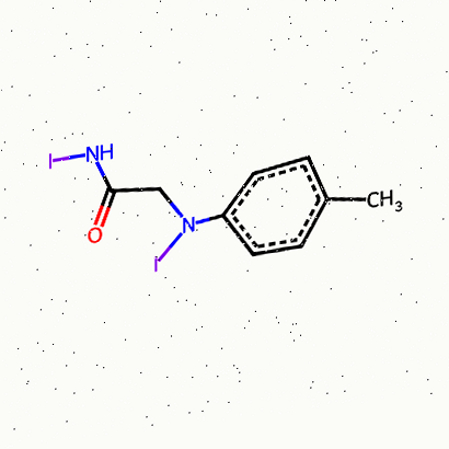 Cc1ccc(N(I)CC(=O)NI)cc1